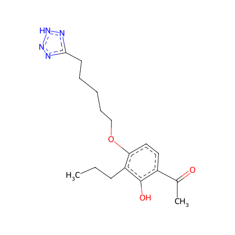 CCCc1c(OCCCCCc2nn[nH]n2)ccc(C(C)=O)c1O